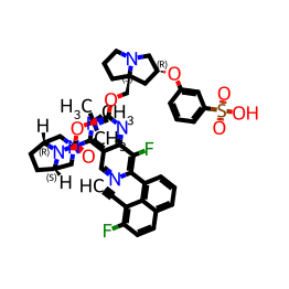 C#Cc1c(F)ccc2cccc(-c3ncc4c(N5C[C@H]6CC[C@@H](C5)N6C(=O)OC(C)(C)C)nc(OC[C@@]56CCCN5C[C@H](Oc5cccc(S(=O)(=O)O)c5)C6)nc4c3F)c12